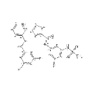 CS(=O)(=O)Nc1cc(Cl)cc(NC(=O)c2cc(-c3ncccc3COc3cc(F)cc(F)c3)cs2)c1